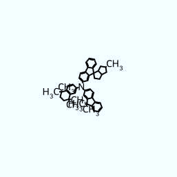 CC1CC2CCC3(c4ccccc4-c4ccc(N(c5ccc6c(c5)C(C)(C)CCC6(C)C)c5ccc6c(c5)C(C)(C)c5ccccc5-6)cc43)C2C1